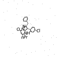 CCCc1cc(=O)n2nc(Cc3ccccc3)c(-c3ccc(Cl)cc3)c2[nH]1